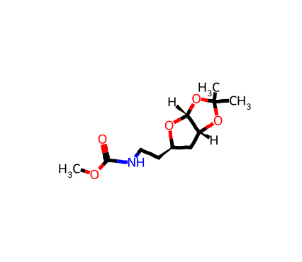 COC(=O)NCC[C@@H]1C[C@H]2OC(C)(C)O[C@H]2O1